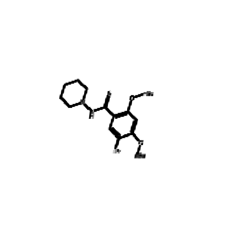 CCCCOc1cc(OCCCC)c(C(C)C)cc1C(=S)NN1CCCCC1